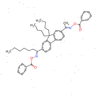 CCCCCC/C(=N\OC(=O)c1ccccc1)c1ccc2c(c1)C(CCCC)(CCCC)c1cc(/C(C)=N/OC(=O)c3ccccc3)ccc1-2